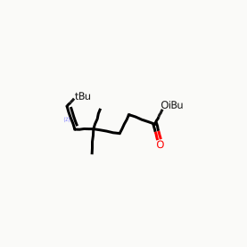 CC(C)COC(=O)CCC(C)(C)/C=C\C(C)(C)C